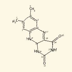 Cc1cc2c(cc1C)NC1NC(=O)NC(=O)C1=N2